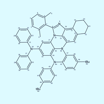 Cc1cccc(C)c1-c1nc2c3c(cc4c2n1-c1cc(N(c2ccccc2)c2ccccc2)cc2c1B4c1cc(C(C)(C)C)ccc1N2c1ccc(C(C)(C)C)cc1)CCCC3